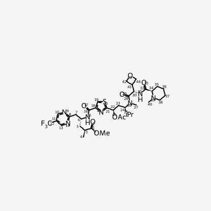 COC(=O)[C@@H](C)C[C@H](Cc1ncc(C(F)(F)F)cn1)NC(=O)c1csc([C@@H](C[C@H](C(C)C)N(C)C(=O)[C@@H](NC(=O)[C@H]2CCCCN2C)C2COC2)OC(C)=O)n1